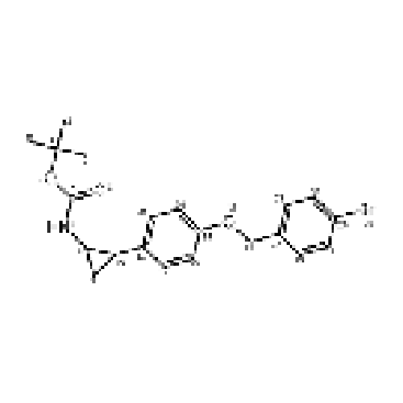 CC(C)(C)OC(=O)NC1CC1c1ccc(OCc2ccc(Br)cc2)cc1